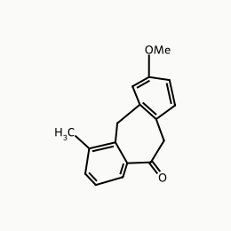 COc1ccc2c(c1)Cc1c(C)cccc1C(=O)C2